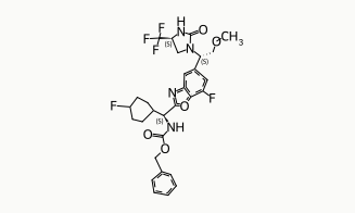 COC[C@H](c1cc(F)c2oc([C@@H](NC(=O)OCc3ccccc3)C3CCC(F)CC3)nc2c1)N1C[C@@H](C(F)(F)F)NC1=O